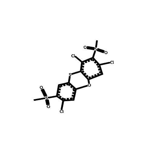 CS(=O)(=O)c1cc2c(cc1Cl)Oc1cc(Cl)c(S(C)(=O)=O)c(Cl)c1S2